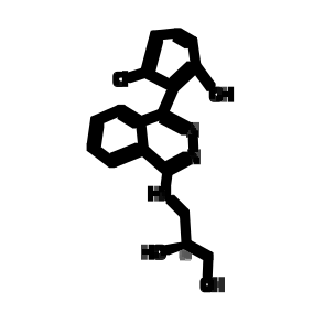 OC[C@@H](O)CNc1nnc(-c2c(O)cccc2Cl)c2ccccc12